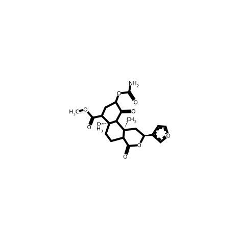 COC(=O)C1CC(OC(N)=O)C(=O)C2[C@@]1(C)CCC1C(=O)O[C@H](c3ccoc3)C[C@@]12C